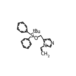 C=Cn1cncc1CO[Si](c1ccccc1)(c1ccccc1)C(C)(C)C